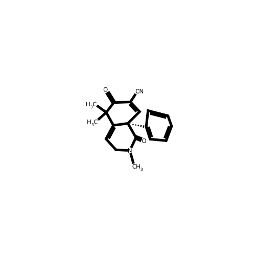 CN1CC=C2C(C)(C)C(=O)C(C#N)=C[C@@]2(c2ccccc2)C1=O